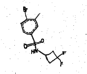 Cc1cc(S(=O)(=O)NC2CC(F)(F)C2)ccc1Br